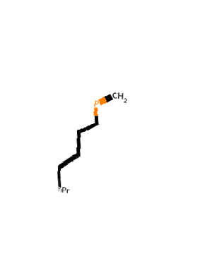 C=PCCCCCCC